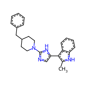 Cc1[nH]c2ccccc2c1-c1cnc(N2CCC(Cc3ccccc3)CC2)[nH]1